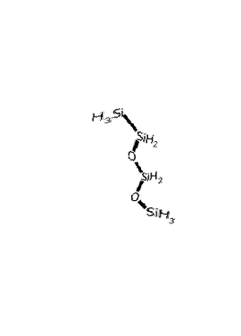 [SiH3]O[SiH2]O[SiH2][SiH3]